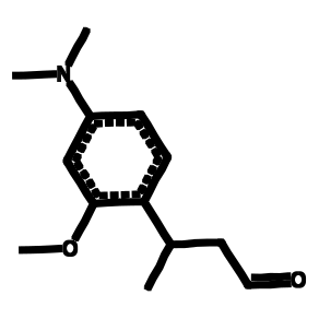 COc1cc(N(C)C)ccc1C(C)CC=O